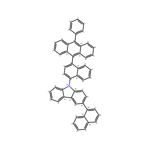 c1ccc(-c2c3ccccc3c(-c3ccc(-n4c5ccccc5c5cc(-c6cccc7ccccc67)ccc54)c4ccccc34)c3ccccc23)cc1